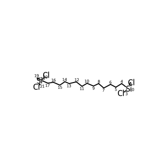 C[Si](Cl)(Cl)CCCCCCCCCCCCCC[Si](C)(Cl)Cl